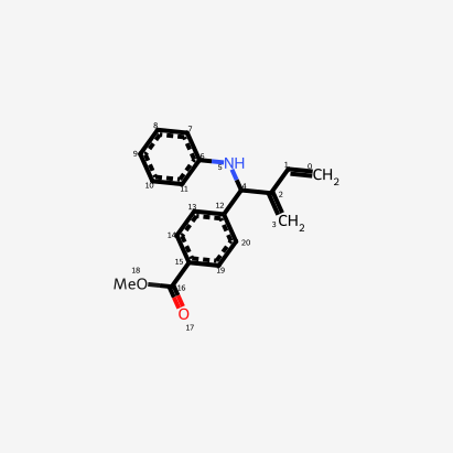 C=CC(=C)C(Nc1ccccc1)c1ccc(C(=O)OC)cc1